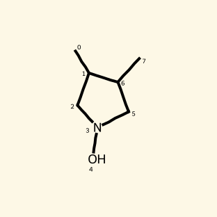 CC1CN(O)CC1C